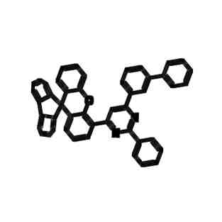 c1ccc(-c2cccc(-c3cc(-c4cccc5c4Oc4ccccc4C54c5ccccc5-c5ccccc54)nc(-c4ccccc4)n3)c2)cc1